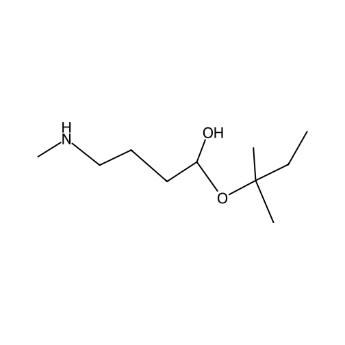 CCC(C)(C)OC(O)CCCNC